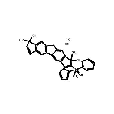 Cl.Cl.[CH2]=[Zr]([CH3])([C]1=CC=CC1)([C]1=Cc2cc3c(cc2C1(C)C)Cc1cc2c(cc1-3)C=CC2(C)C)[c]1ccccc1